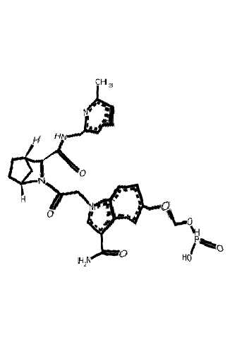 Cc1cccc(NC(=O)[C@@H]2[C@H]3CC[C@H](C3)N2C(=O)Cn2cc(C(N)=O)c3cc(OCO[PH](=O)O)ccc32)n1